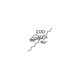 CCCCCCCCCCCCC.O=C([O-])CC(C(=O)[O-])S(=O)(=O)O.[Na+].[Na+]